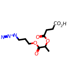 CC(OC(=O)CCC(=O)O)C(=O)OCCCN=[N+]=[N-]